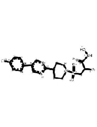 CC(C)C(CS(=O)(=O)N1CCC(c2ncc(-c3ccc(Cl)cc3)cn2)CC1)C(=O)NO